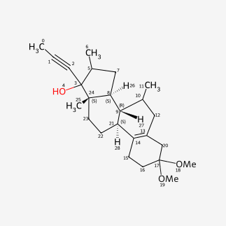 CC#CC1(O)C(C)C[C@H]2[C@@H]3C(C)CC4=C(CCC(OC)(OC)C4)[C@H]3CC[C@@]21C